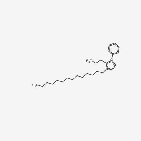 CCCCCCCCCCCCCC[n+]1ccn(-c2ccccc2)c1CCC